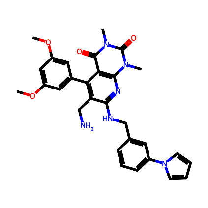 COc1cc(OC)cc(-c2c(CN)c(NCc3cccc(-n4cccc4)c3)nc3c2c(=O)n(C)c(=O)n3C)c1